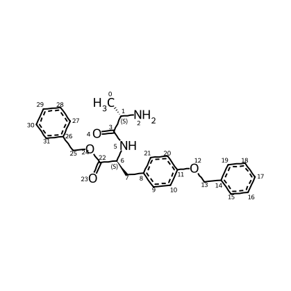 C[C@H](N)C(=O)N[C@@H](Cc1ccc(OCc2ccccc2)cc1)C(=O)OCc1ccccc1